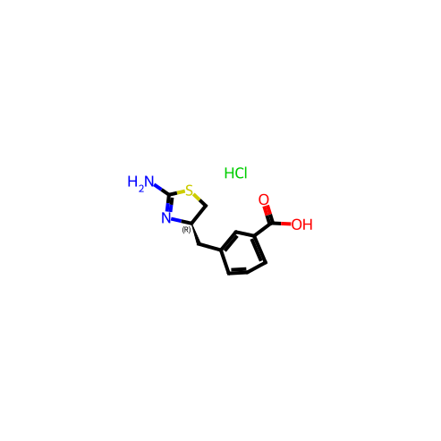 Cl.NC1=N[C@H](Cc2cccc(C(=O)O)c2)CS1